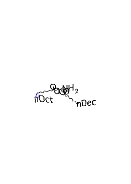 CCCCCCCC/C=C\CCCCCCCC(=O)OCC(CN)OC(=O)CCCCCCCCCCCCCCCCC